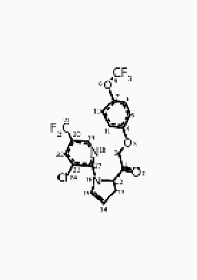 O=C(COc1ccc(OC(F)(F)F)cc1)C1CC=CN1c1ncc(C(F)(F)F)cc1Cl